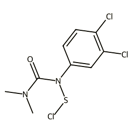 CN(C)C(=O)N(SCl)c1ccc(Cl)c(Cl)c1